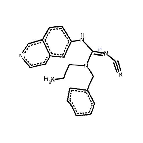 N#C/N=C(/Nc1ccc2cnccc2c1)N(CCN)Cc1ccccc1